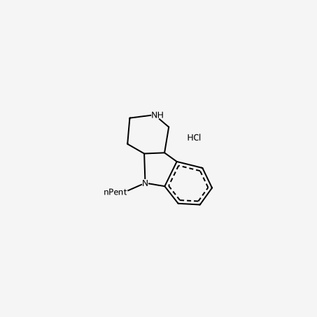 CCCCCN1c2ccccc2C2CNCCC21.Cl